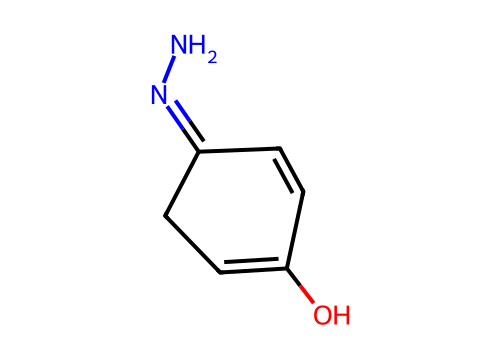 NN=C1C=CC(O)=CC1